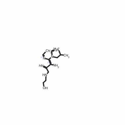 C=CN(CC(C)C)C(/N=C\C)=C(\N)C(=N)CNCCO